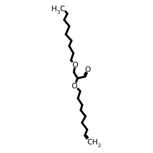 C=CCCCCCCCOC(C=O)COCCCCCCCCC